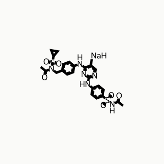 CC(=O)NS(=O)(=O)c1ccc(Nc2ncc(C)c(Nc3ccc(CN(C(C)=O)S(=O)(=O)C4CC4)cc3)n2)cc1.[NaH]